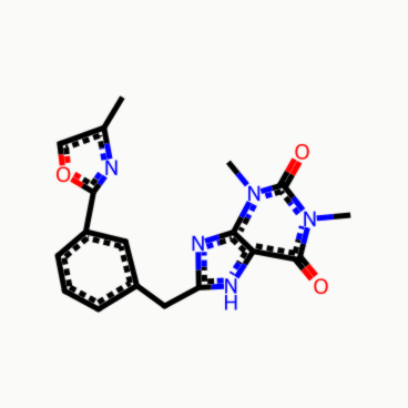 Cc1coc(-c2cccc(Cc3nc4c([nH]3)c(=O)n(C)c(=O)n4C)c2)n1